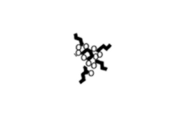 CCCC(=O)CO[C@H]1O[C@H](OC)[C@H](OC(=O)CCC)[C@@H](OC(=O)CCC)[C@@H]1OC(=O)CCC